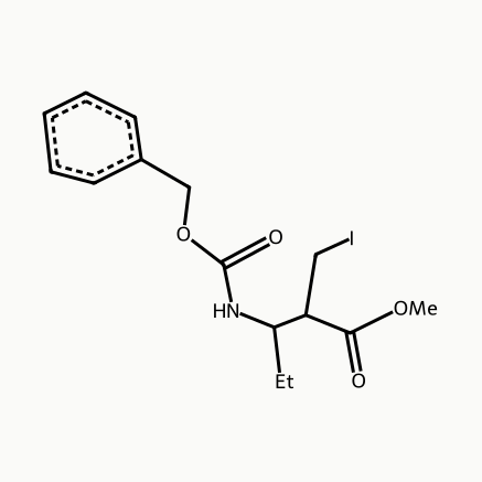 CCC(NC(=O)OCc1ccccc1)C(CI)C(=O)OC